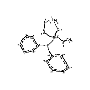 CO[Si](OC)(OC)C(c1ccccc1)c1ccccc1